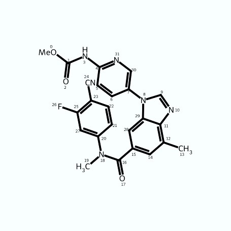 COC(=O)Nc1ccc(-n2cnc3c(C)cc(C(=O)N(C)c4ccc(C#N)c(F)c4)cc32)cn1